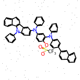 O=S(=O)(Oc1ccc(N(c2ccccc2)c2ccc3c(c2)c2ccc4ccccc4c2n3-c2ccccc2)cc1N(c1ccccc1)c1ccc(-c2ccc3ccccc3c2)cc1)C(F)(F)F